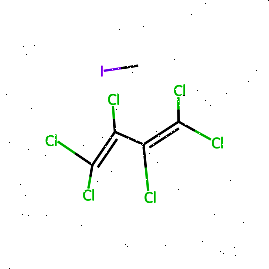 CI.ClC(Cl)=C(Cl)C(Cl)=C(Cl)Cl